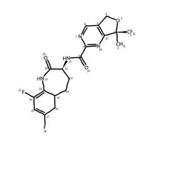 C[C@@]1(C(F)(F)F)OCc2cnc(C(=O)N[C@H]3CCC4CC(F)=CC(F)=C4NC3=O)nc21